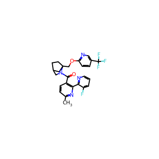 Cc1ccc(C(=O)N2CC3CCC2(COc2ccc(C(F)(F)F)cn2)C3)c(-c2ncccc2F)n1